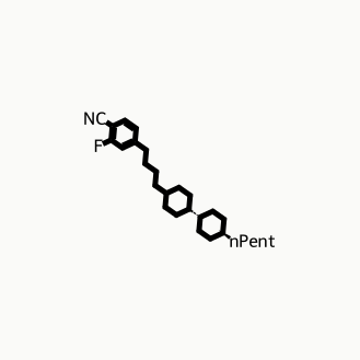 CCCCC[C@H]1CC[C@H](C2CCC(CCCCc3ccc(C#N)c(F)c3)CC2)CC1